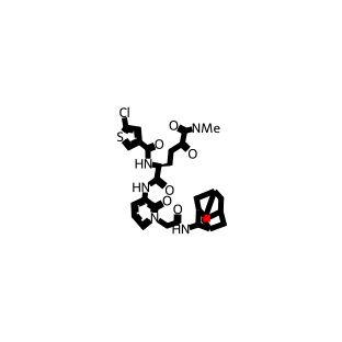 CNC(=O)C(=O)CC[C@H](NC(=O)c1csc(Cl)c1)C(=O)Nc1cccn(CC(=O)NC2C3CC4CC(C3)CC2C4)c1=O